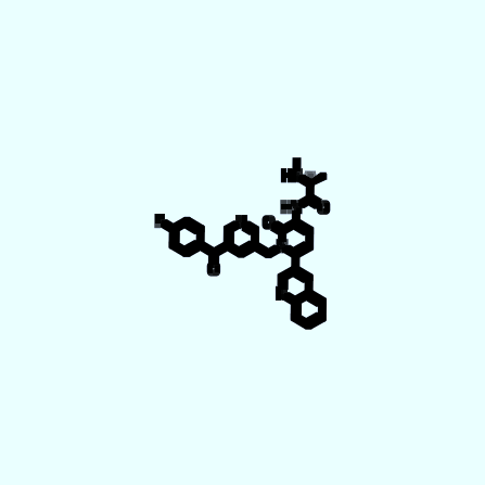 CN[C@@H](C)C(=O)Nc1ccc(-c2cnc3ccccc3c2)n(Cc2cncc(C(=O)c3ccc(F)cc3)c2)c1=O